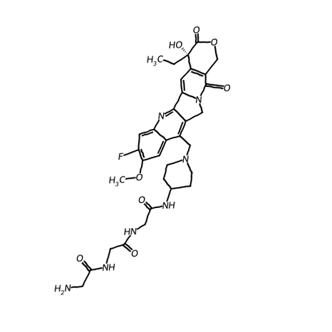 CC[C@@]1(O)C(=O)OCc2c1cc1n(c2=O)Cc2c-1nc1cc(F)c(OC)cc1c2CN1CCC(NC(=O)CNC(=O)CNC(=O)CN)CC1